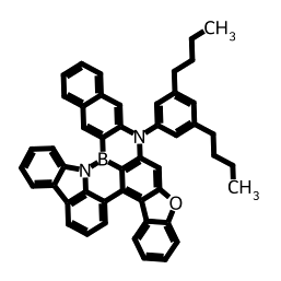 CCCCc1cc(CCCC)cc(N2c3cc4ccccc4cc3B3c4c2cc2oc5ccccc5c2c4-c2cccc4c5ccccc5n3c24)c1